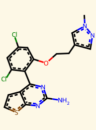 Cn1cc(CCOc2cc(Cl)cc(Cl)c2-c2nc(N)nc3sccc23)cn1